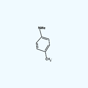 [CH2]c1ccc(NC)cc1